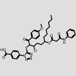 CCCCCCCC(CCC(Cl)C(Sc1nnnn1-c1ccc(C(=O)O)cc1)C(=O)c1ccc(OC)cc1)OC(=O)CC(=O)Nc1ccccc1